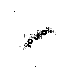 COC(=O)C1CCC(N(C)c2ccc3nc(-c4ccc(C(=N)N)cc4)n(C)c3n2)CC1